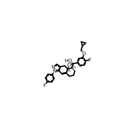 C[C@]12Cc3cnn(-c4ccc(F)cc4)c3C=C1CCC[C@@H]2[C@@H](O)c1ccc(F)c(OCC2CC2)c1